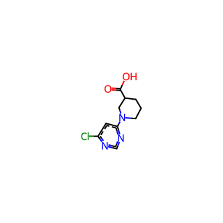 O=C(O)C1CCCN(c2cc(Cl)ncn2)C1